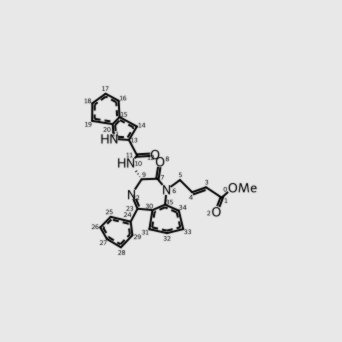 COC(=O)/C=C/CN1C(=O)[C@@H](NC(=O)c2cc3ccccc3[nH]2)N=C(c2ccccc2)c2ccccc21